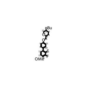 CCCCC1CCC(COc2ccc(-c3ccc(OC)c(F)c3F)cc2)OC1